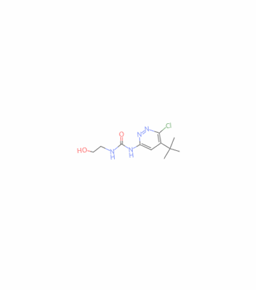 CC(C)(C)c1cc(NC(=O)NCCO)nnc1Cl